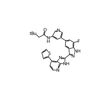 CC(C)(C)CC(=O)Nc1cncc(-c2cc(F)c3[nH]nc(-c4nc5c(-c6cccs6)ccnc5[nH]4)c3c2)c1